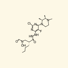 CCCC[C@H](CN(O)C=O)C(=O)NNc1nc(Cl)nc(N2CCN(C)[C@H](C)[C@@H]2C)c1F